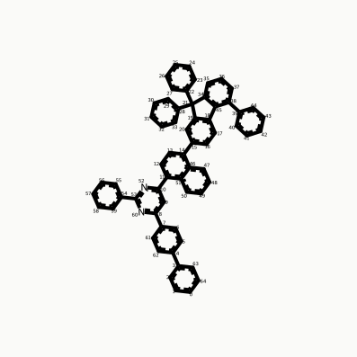 c1ccc(-c2ccc(-c3cc(-c4ccc(-c5ccc6c(c5)C(c5ccccc5)(c5ccccc5)c5cccc(-c7ccccc7)c5-6)c5ccccc45)nc(-c4ccccc4)n3)cc2)cc1